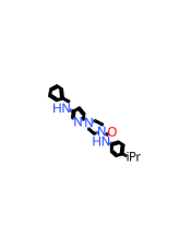 CC(C)c1ccc(NC(=O)N2CCN(c3ccc(NCc4ccccc4)cn3)CC2)cc1